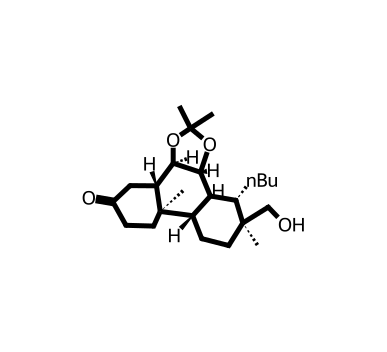 CCCC[C@H]1[C@@H]2[C@H]3OC(C)(C)O[C@@H]3[C@H]3CC(=O)CC[C@]3(C)[C@H]2CC[C@]1(C)CO